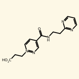 O=C(O)CC[n+]1ccc(C(=O)NCCc2ncccn2)cn1